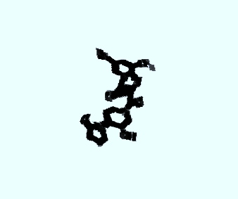 O=C(c1nc2c(C(F)(F)F)cc(Br)cn2c1Cl)N1CCC(N2CCCC2=O)[C@@H](O)C1